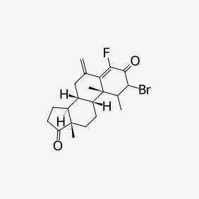 C=C1C[C@@H]2[C@@H](CC[C@]3(C)C(=O)CC[C@@H]23)[C@]2(C)C1=C(F)C(=O)C(Br)C2C